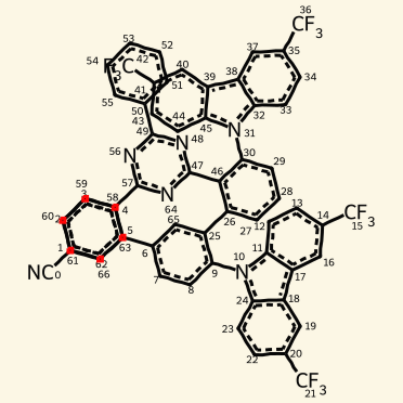 N#Cc1cccc(-c2ccc(-n3c4ccc(C(F)(F)F)cc4c4cc(C(F)(F)F)ccc43)c(-c3cccc(-n4c5ccc(C(F)(F)F)cc5c5cc(C(F)(F)F)ccc54)c3-c3nc(-c4ccccc4)nc(-c4ccccc4)n3)c2)c1